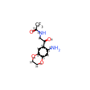 Nc1cc2c(cc1C(=O)CNC(=O)C(F)(F)F)OCCO2